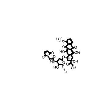 COc1cccc2c1C(=O)c1c(O)c3c(c(O)c1C2=O)C[C@@](O)(C(=O)CO)C[C@@H]3OC1CC(NC(=O)CN2C(=O)C=CC2=O)C(O)C(C)O1